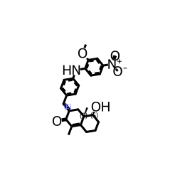 COc1cc([N+](=O)[O-])ccc1Nc1ccc(/C=C2\C[C@@]3(C)C(=C(C)C2=O)CCC[C@@H]3O)cc1